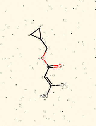 CCCCC(C)=CC(=O)OCC1CC1